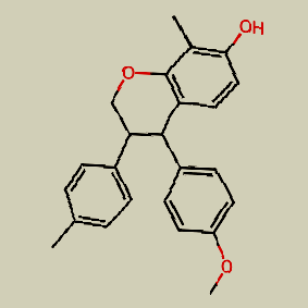 COc1ccc(C2c3ccc(O)c(C)c3OCC2c2ccc(C)cc2)cc1